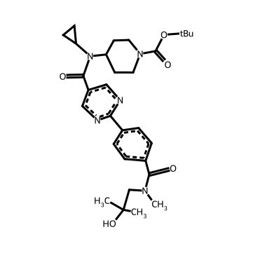 CN(CC(C)(C)O)C(=O)c1ccc(-c2ncc(C(=O)N(C3CC3)C3CCN(C(=O)OC(C)(C)C)CC3)cn2)cc1